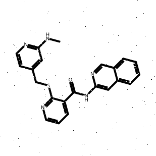 CNc1cc(CSc2ncccc2C(=O)Nc2cc3ccccc3cn2)ccn1